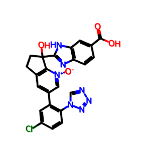 O=C(O)c1ccc2nc(C3(O)CCc4cc(-c5cc(Cl)ccc5-n5cnnn5)c[n+]([O-])c43)[nH]c2c1